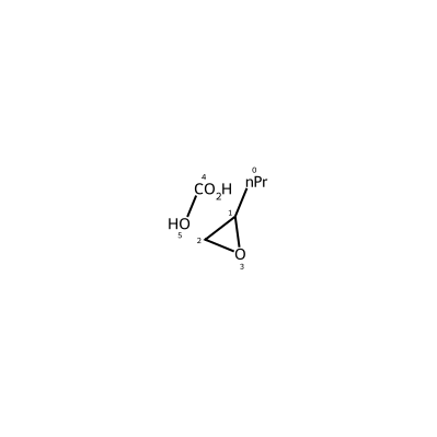 CCCC1CO1.O=C(O)O